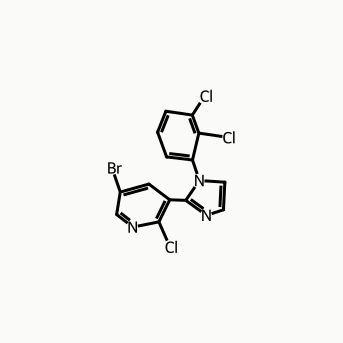 Clc1cccc(-n2ccnc2-c2cc(Br)cnc2Cl)c1Cl